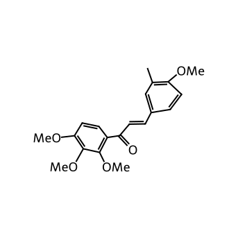 COc1ccc(/C=C/C(=O)c2ccc(OC)c(OC)c2OC)cc1C